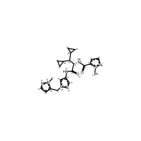 CC(C)n1nccc1C(=O)N[C@H](C(=O)Nc1cnn(Cc2ccnn2C)c1)C(C1CC1)C1CC1